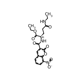 CCNC(=O)CC[C@@H](NC(=O)c1cc2cccc([N+](=O)[O-])c2oc1=O)C(=O)OCC